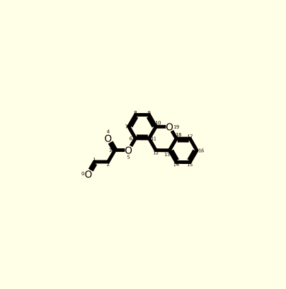 O=CCC(=O)Oc1cccc2c1Cc1ccccc1O2